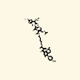 CO/N=C(\C(=O)NC1C(=O)N2C(C(=O)OCCCCCOC(=O)c3cn4c5c(c(N6CCC(O)CC6)c(F)cc5c3=O)CCC4C)=C(COC(C)=O)CS[C@H]12)c1csc(N)n1